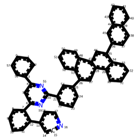 c1ccc(-c2cc(-c3ccccc3-c3ccncc3)nc(-c3cccc(-c4cc5c6ccccc6c(-c6ccc7ccccc7c6)cc5c5ccccc45)c3)n2)cc1